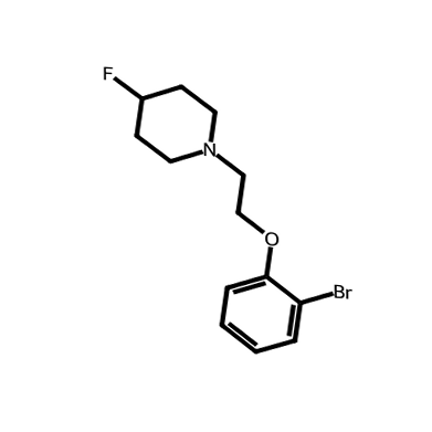 FC1CCN(CCOc2ccccc2Br)CC1